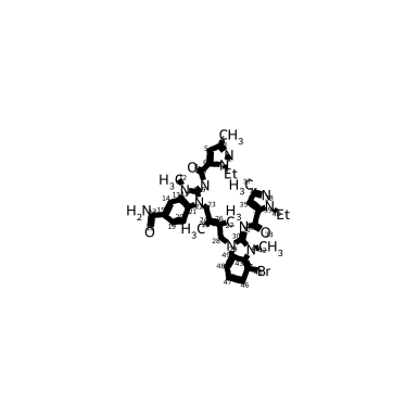 CCn1nc(C)cc1C(=O)/N=c1\n(C)c2cc(C(N)=O)ccc2n1C/C(C)=C(\C)Cn1/c(=N/C(=O)c2cc(C)nn2CC)n(C)c2c(Br)cccc21